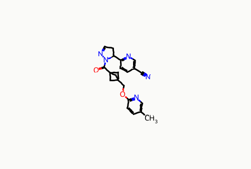 Cc1ccc(OCC23CC(C(=O)N4N=CCC4c4ccc(C#N)cn4)(C2)C3)nc1